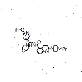 C=C(/N=C\C(=C/C)C(CNC(=O)c1cccc2nc(N3CCN(C(C)C)CC3)ccc12)N1CCOCC1)OC(C)C